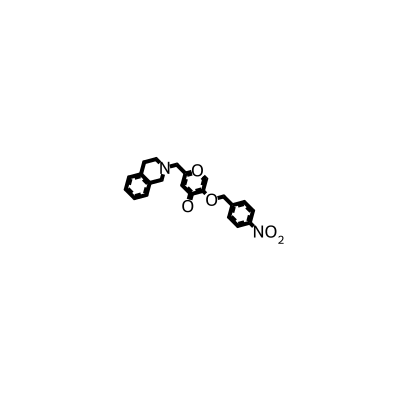 O=c1cc(CN2CCc3ccccc3C2)occ1OCc1ccc([N+](=O)[O-])cc1